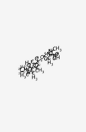 Cc1nn(CC(=O)OCC(=O)c2cc(C)n(-c3c(C)n(C)n(-c4ccccc4)c3=O)c2C)c(C)c1[N+](=O)O